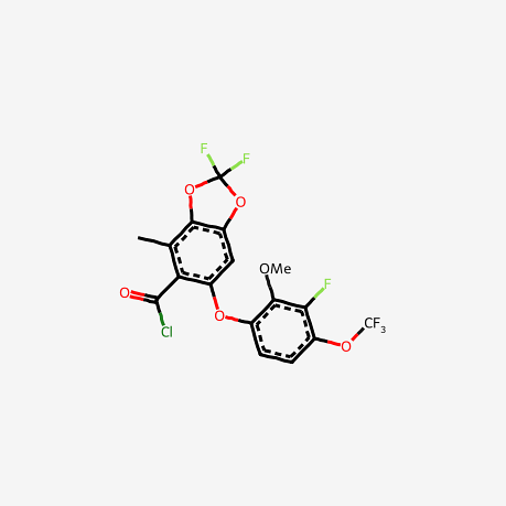 COc1c(Oc2cc3c(c(C)c2C(=O)Cl)OC(F)(F)O3)ccc(OC(F)(F)F)c1F